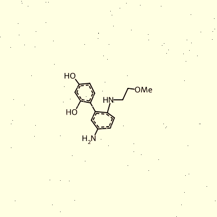 COCCNc1ccc(N)cc1-c1ccc(O)cc1O